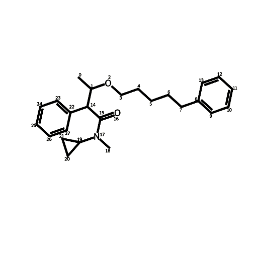 CC(OCCCCCc1ccccc1)C(C(=O)N(C)C1CC1)c1ccccc1